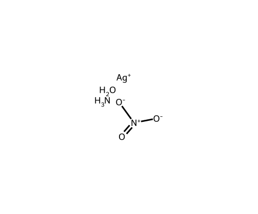 N.O.O=[N+]([O-])[O-].[Ag+]